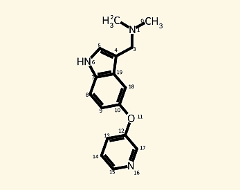 CN(C)Cc1c[nH]c2ccc(Oc3cccnc3)cc12